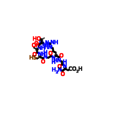 C[C@@H](O)[C@H](N)C(=O)N[C@@H](CO)C(=O)N[C@@H](CS)C(=O)NCC(=O)N[C@@H](CCCNC(=N)N)C(=O)NCC(=O)N[C@@H](CC(=O)O)C(N)=O